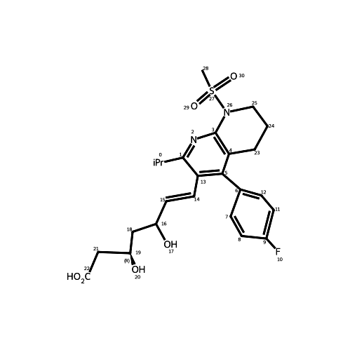 CC(C)c1nc2c(c(-c3ccc(F)cc3)c1C=CC(O)C[C@@H](O)CC(=O)O)CCCN2S(C)(=O)=O